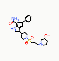 NC(=O)c1cc(-c2ccccc2)cc2c(C3CCN(S(=O)(=O)CCCN4CCCC(O)C4)CC3)c[nH]c12